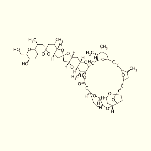 C=C1CC2CC[C@]34CCC(O3)[C@H]3C[C@@H](O4)[C@H]4O[C@H](CC[C@@H]4O3)CC(=O)O[C@@H]3[C@@H](C)[C@@H]4O[C@@H]5C[C@]6(C[C@@H]7O[C@]8(C[C@H](C)C9OC(CO)[C@H](O)CC9O8)C[C@H](C)[C@@H]7O6)O[C@@H]5C[C@@H]4O[C@H]3C[C@H]3OC(CCC1O2)C[C@@H](C)C3=C